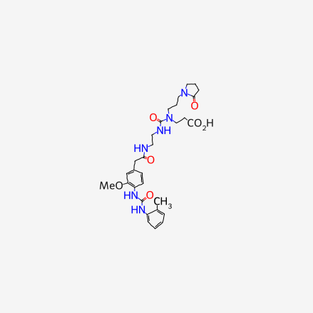 COc1cc(CC(=O)NCCNC(=O)N(CCCN2CCCC2=O)CCC(=O)O)ccc1NC(=O)Nc1ccccc1C